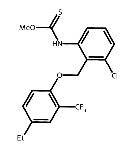 CCc1ccc(OCc2c(Cl)cccc2NC(=S)OC)c(C(F)(F)F)c1